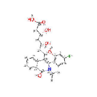 COc1cc(F)ccc1-c1c(CC[C@@H](O)C[C@@H](O)CC(=O)O)c2ccccc2c(=O)n1C(C)C